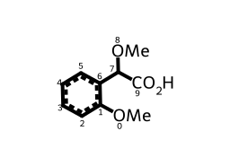 COc1ccccc1C(OC)C(=O)O